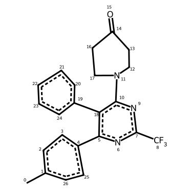 Cc1ccc(-c2nc(C(F)(F)F)nc(N3CCC(=O)CC3)c2-c2ccccc2)cc1